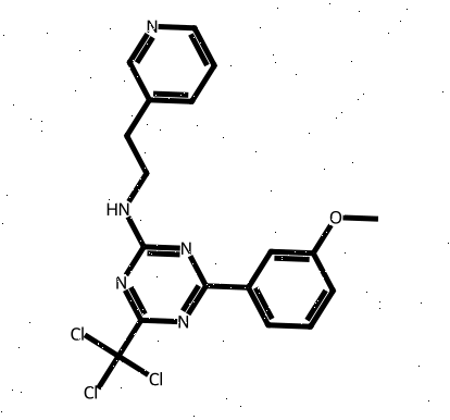 COc1cccc(-c2nc(NCCc3cccnc3)nc(C(Cl)(Cl)Cl)n2)c1